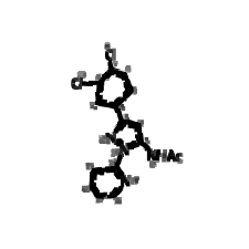 CC(=O)Nc1cc(-c2ccc(Cl)c(Cl)c2)nn1-c1ccccn1